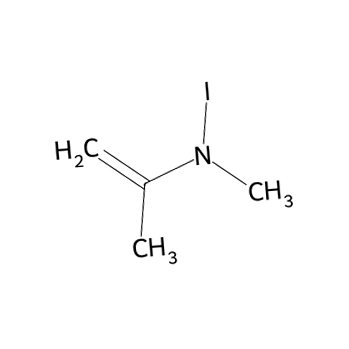 C=C(C)N(C)I